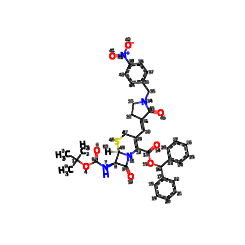 CC(C)(C)OC(=O)N[C@@H]1C(=O)N2C(C(=O)OC(c3ccccc3)c3ccccc3)=C(C=C3CCN(Cc4ccc([N+](=O)[O-])cc4)C3=O)CS[C@H]12